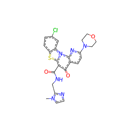 Cn1ccnc1CNC(=O)c1c(=O)c2ccc(N3CCOCC3)nc2n2c1sc1ccc(Cl)cc12